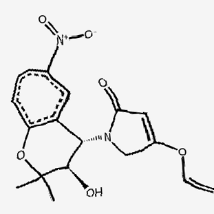 C=COC1=CC(=O)N([C@H]2c3cc([N+](=O)[O-])ccc3OC(C)(C)[C@@H]2O)C1